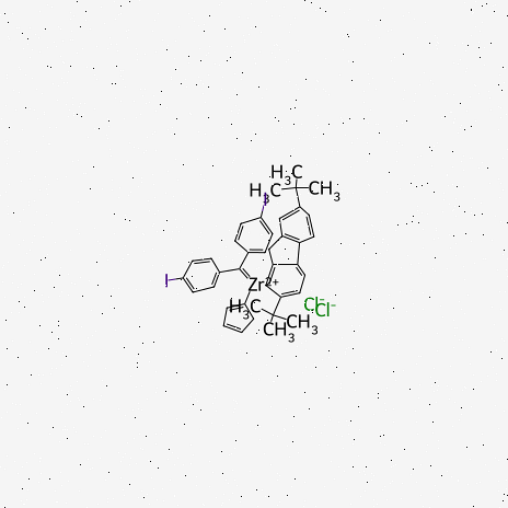 CC(C)(C)c1ccc2c(c1)Cc1c-2ccc(C(C)(C)C)[c]1[Zr+2]([C]1=CC=CC1)=[C](c1ccc(I)cc1)c1ccc(I)cc1.[Cl-].[Cl-]